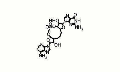 Nc1nc2c(ncn2C2OC3CCCC4C(OCP(=O)(O)OC3C2O)OC(n2cnc3c(N)ncnc32)C4O)c(=O)[nH]1